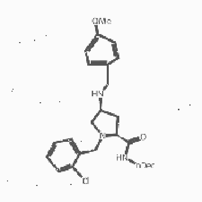 CCCCCCCCCCNC(=O)[C@@H]1C[C@H](NCc2ccc(OC)cc2)CN1Cc1ccccc1Cl